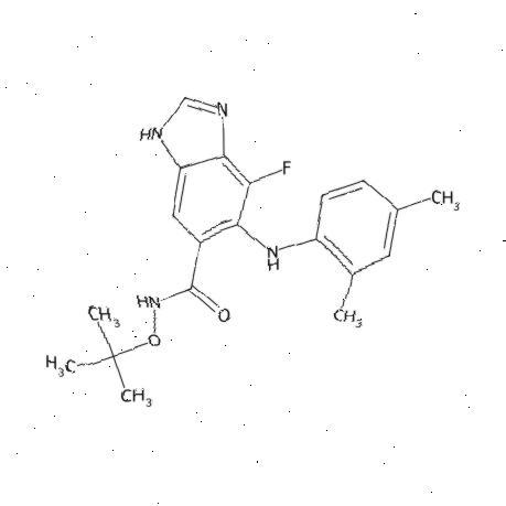 Cc1ccc(Nc2c(C(=O)NOC(C)(C)C)cc3[nH]cnc3c2F)c(C)c1